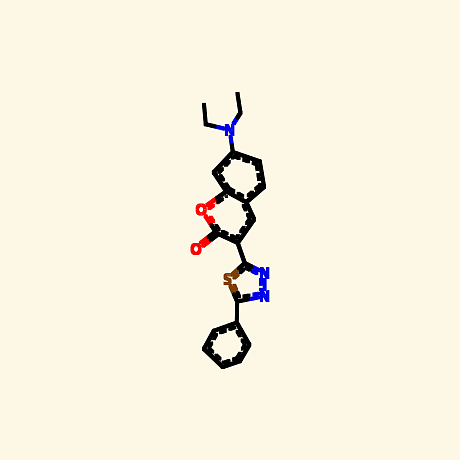 CCN(CC)c1ccc2cc(-c3nnc(-c4ccccc4)s3)c(=O)oc2c1